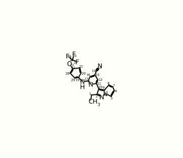 CCc1nn2ccccc2c1-c1cc(C#N)cc(Nc2ccc(OC(F)(F)F)cc2)n1